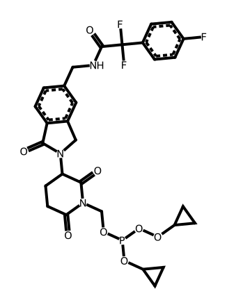 O=C1CCC(N2Cc3cc(CNC(=O)C(F)(F)c4ccc(F)cc4)ccc3C2=O)C(=O)N1COP(OOC1CC1)OC1CC1